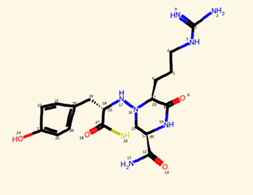 N=C(N)NCCC[C@H]1C(=O)N[C@@H](C(N)=O)CN1N[C@@H](Cc1ccc(O)cc1)C(=O)S